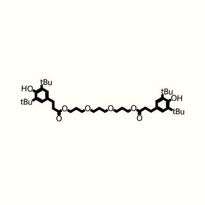 CC(C)(C)c1cc(CCC(=O)OCCCOCCCOCCCOC(=O)CCc2cc(C(C)(C)C)c(O)c(C(C)(C)C)c2)cc(C(C)(C)C)c1O